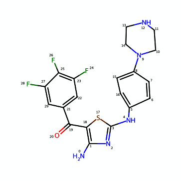 Nc1nc(Nc2ccc(N3CCNCC3)cc2)sc1C(=O)c1cc(F)c(F)c(F)c1